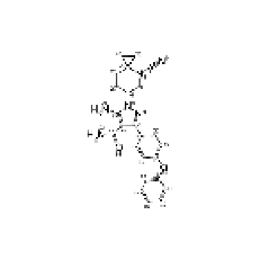 N#CN1CC(n2nc(-c3ccc(Oc4ccccc4)cc3)c(C(N)=O)c2N)CCC12CC2